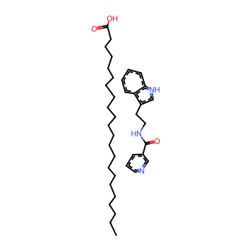 CCCCCCCCCCCCCCCCCCCCCC(=O)O.O=C(NCCc1c[nH]c2ccccc12)c1cccnc1